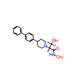 CC(C)(O)C(C)(C(=O)NO)N1CCC(c2ccc(-c3ccccc3)cc2)CC1